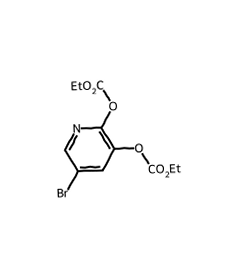 CCOC(=O)Oc1cc(Br)cnc1OC(=O)OCC